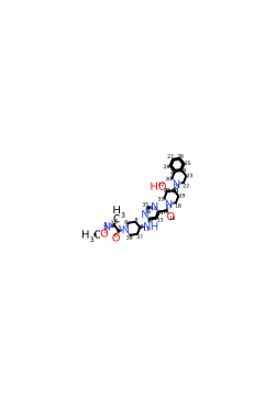 CO/N=C(/C)C(=O)N1CCC(Nc2cc(C(=O)N3CC[C@@H](N4CCc5ccccc5C4)[C@H](O)C3)ncn2)CC1